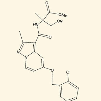 COC(=O)C(C)(CO)NC(=O)c1c(C)nn2ccc(OCc3ccccc3Cl)cc12